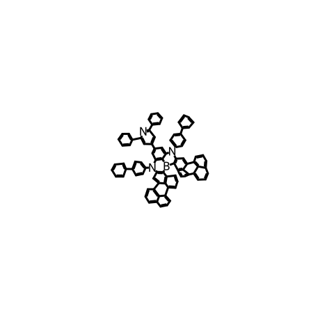 c1ccc(-c2ccc(N3c4cc(-c5cc(-c6ccccc6)nc(-c6ccccc6)c5)cc5c4B(c4c3cc3c6cccc7cccc(c8cccc4c83)c76)c3c(cc4c6cccc7cccc(c8cccc3c84)c76)N5c3ccc(-c4ccccc4)cc3)cc2)cc1